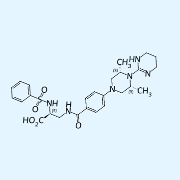 C[C@@H]1CN(c2ccc(C(=O)NC[C@H](NS(=O)(=O)c3ccccc3)C(=O)O)cc2)C[C@H](C)N1C1=NCCCN1